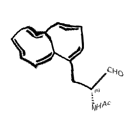 CC(=O)N[C@@H](C=O)Cc1cccc2ccccc12